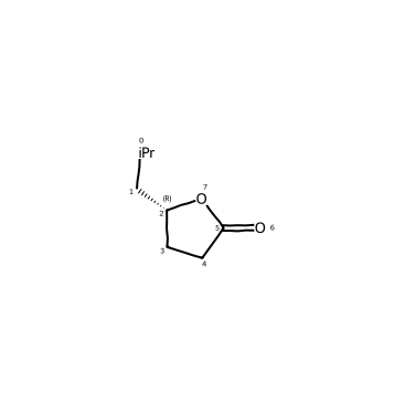 CC(C)C[C@H]1CCC(=O)O1